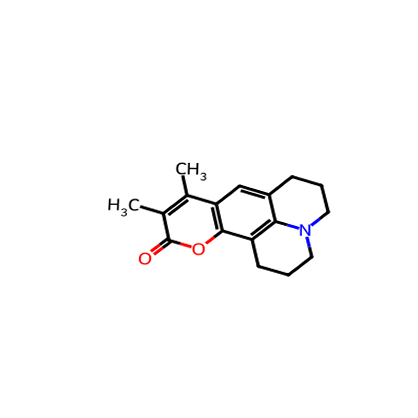 Cc1c(C)c2cc3c4c(c2oc1=O)CCCN4CCC3